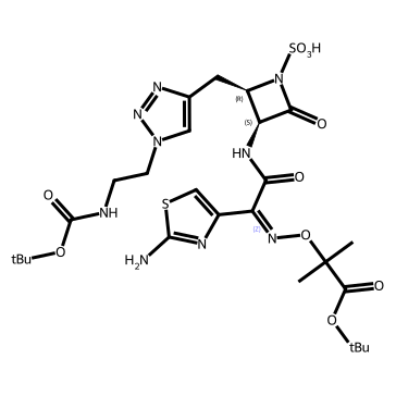 CC(C)(C)OC(=O)NCCn1cc(C[C@@H]2[C@H](NC(=O)/C(=N\OC(C)(C)C(=O)OC(C)(C)C)c3csc(N)n3)C(=O)N2S(=O)(=O)O)nn1